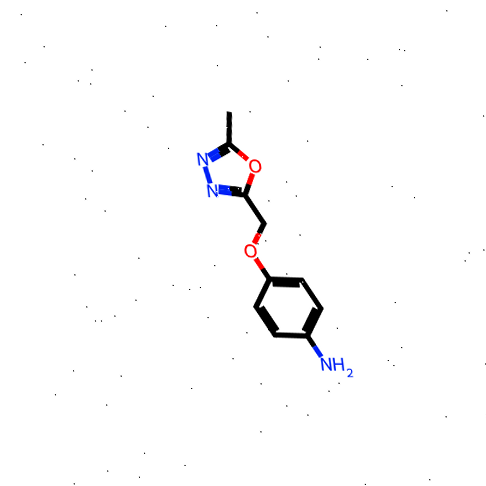 Cc1nnc(COc2ccc(N)cc2)o1